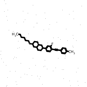 CCCCCCCC1CCC2CC(c3ccc(C#Cc4ccc(C)cc4)c(F)c3)CCC2C1